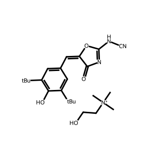 CC(C)(C)c1cc(C=C2OC(NC#N)=NC2=O)cc(C(C)(C)C)c1O.C[N+](C)(C)CCO